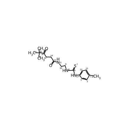 Cc1ccc(NC(=S)NCCNC(=O)CCC(=O)C(C)(C)C)cc1